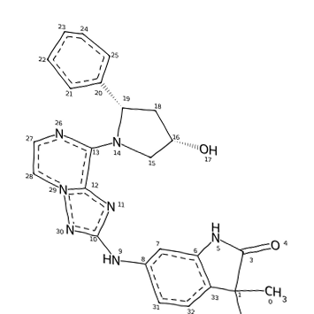 CC1(C)C(=O)Nc2cc(Nc3nc4c(N5C[C@@H](O)C[C@H]5c5ccccc5)nccn4n3)ccc21